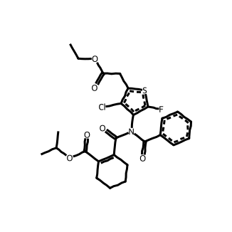 CCOC(=O)Cc1sc(F)c(N(C(=O)C2=C(C(=O)OC(C)C)CCCC2)C(=O)c2ccccc2)c1Cl